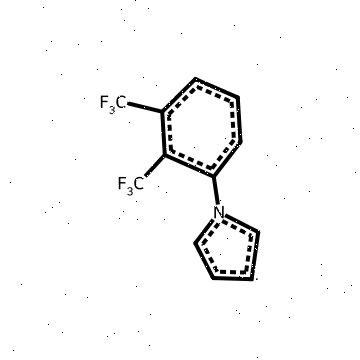 FC(F)(F)c1cccc(-n2c[c]cc2)c1C(F)(F)F